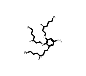 CC(C)CCC[C@H](C)CCOc1cc(N)cc(OCC[C@@H](C)CCCC(C)C)c1OCC[C@@H](C)CCCC(C)C